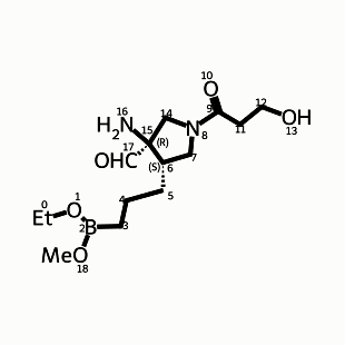 CCOB(CCC[C@H]1CN(C(=O)CCO)C[C@@]1(N)C=O)OC